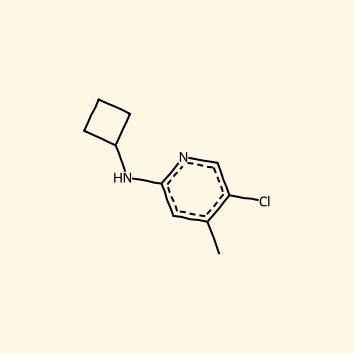 Cc1cc(NC2CCC2)ncc1Cl